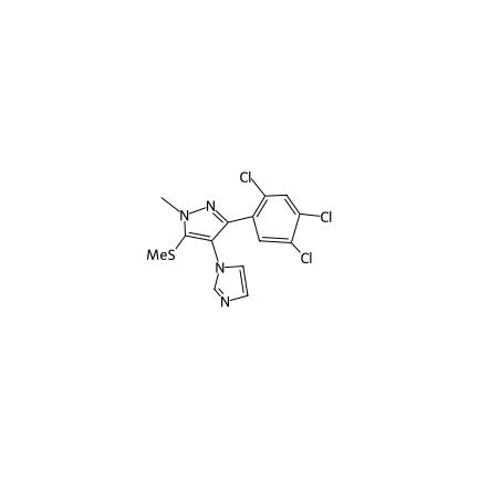 CSc1c(-n2ccnc2)c(-c2cc(Cl)c(Cl)cc2Cl)nn1C